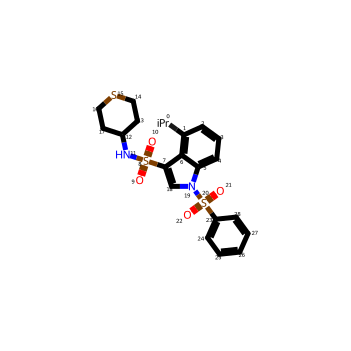 CC(C)c1cccc2c1c(S(=O)(=O)NC1CCSCC1)cn2S(=O)(=O)c1ccccc1